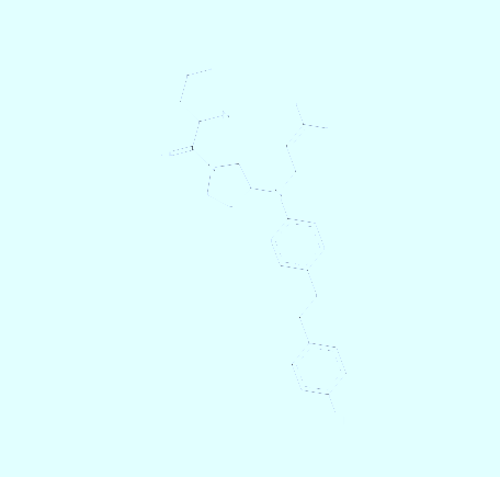 CC(C)=CCN(c1ccc(CCc2ccc(Cl)cc2)cc1)C1CCN(C(=O)C(N)CC(C)C)C1